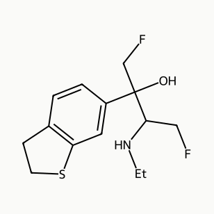 CCNC(CF)C(O)(CF)c1ccc2c(c1)SCC2